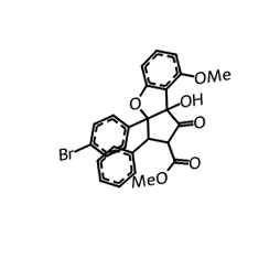 COC(=O)C1C(=O)C2(O)c3c(OC)cccc3OC2(c2ccc(Br)cc2)C1c1ccccc1